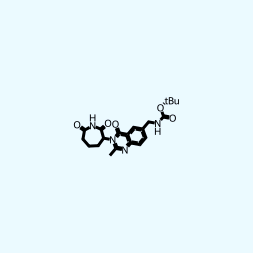 Cc1nc2ccc(CNC(=O)OC(C)(C)C)cc2c(=O)n1C1CCCC(=O)NC1=O